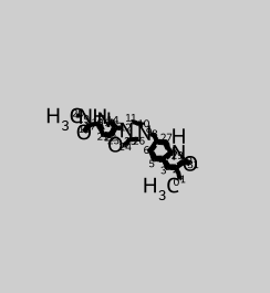 CCc1cc2ccc(CN3CCN4c5cnc(C(=O)NC)cc5OCC4C3)cc2[nH]c1=O